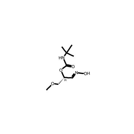 COC[C@@H](C=NO)OC(=O)NC(C)(C)C